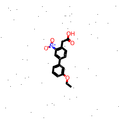 CCOc1cccc(-c2ccc(CC(=O)O)c([N+](=O)[O-])c2)c1